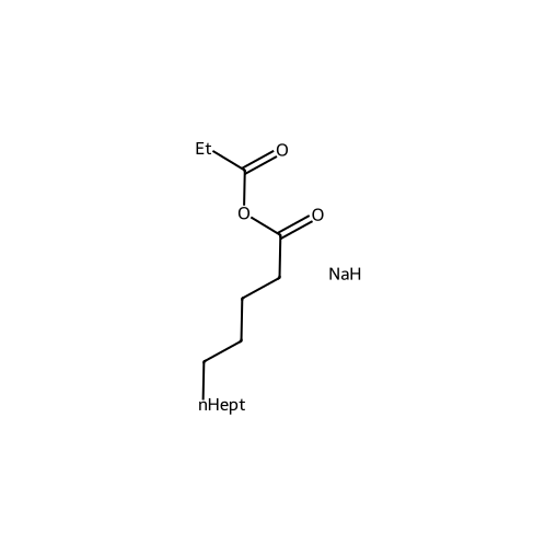 CCCCCCCCCCCC(=O)OC(=O)CC.[NaH]